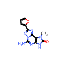 Cn1c(=O)[nH]c2nc(N)n3nc(-c4ccco4)nc3c21